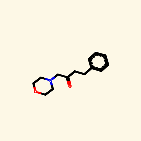 O=C(CCc1ccccc1)CN1CCOCC1